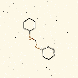 C1CCC(SCSC2CCCCC2)CC1